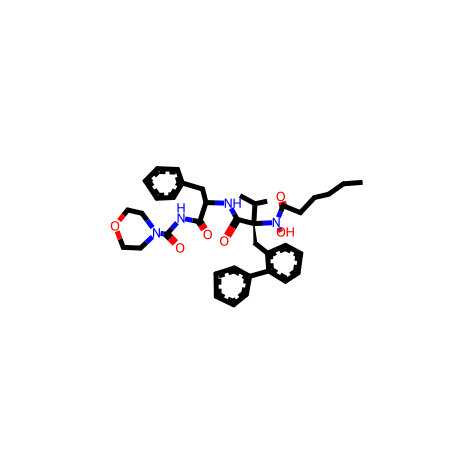 CCCCCC(=O)N(O)[C@](Cc1ccccc1-c1ccccc1)(C(=O)NC(Cc1ccccc1)C(=O)NC(=O)N1CCOCC1)C(C)C